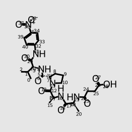 CC(C)[C@H](NC(=O)[C@@H]1CCCN1C(=O)[C@H](C)NC(=O)[C@H](C)NC(=O)CCC(=O)O)C(=O)Nc1ccc([N+](=O)[O-])cc1